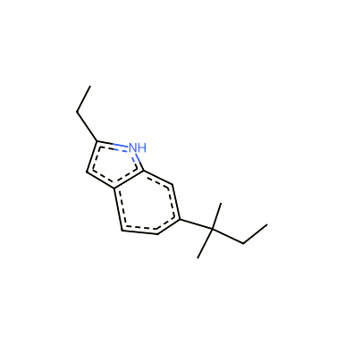 CCc1cc2ccc(C(C)(C)CC)cc2[nH]1